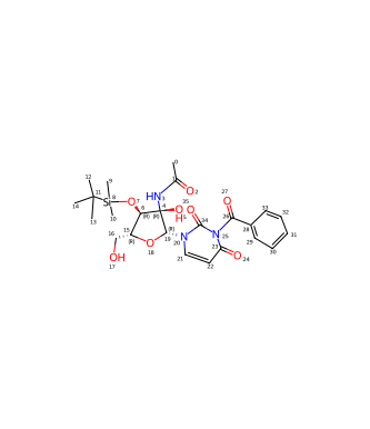 CC(=O)N[C@@]1(O)[C@H](O[Si](C)(C)C(C)(C)C)[C@@H](CO)O[C@H]1n1ccc(=O)n(C(=O)c2ccccc2)c1=O